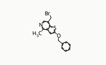 Cc1ncc(CBr)c2sc(OCc3ccccc3)cc12